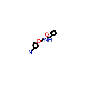 N#Cc1ccc(OCCNC(=O)Cc2ccccc2)cc1